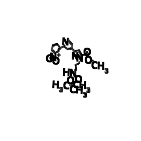 CCOC(=O)c1cc(-c2ccnc(-c3cccc([N+](=O)[O-])c3)c2)nn1CCCNC(=O)OC(C)(C)C